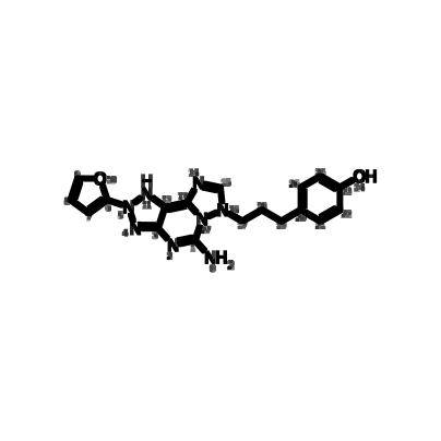 NC1=NC2=NN(c3ccco3)NC2=C2N=CN(CCCc3ccc(O)cc3)N12